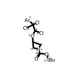 CC(=O)C(Cl)(Cl)C(Cl)OC1CN(C(=O)OC(C)(C)C)C1